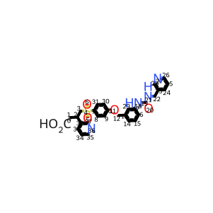 O=C(O)CC(CS(=O)(=O)c1ccc(OCc2cccc(NC(=O)NCc3cccnc3)c2)cc1)c1cccnc1